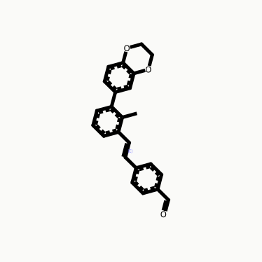 Cc1c(/C=C/c2ccc(C=O)cc2)cccc1-c1ccc2c(c1)OCCO2